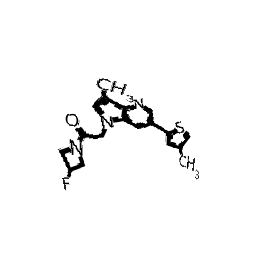 Cc1csc(-c2cnc3c(C)cn(CC(=O)N4CC(F)C4)c3c2)c1